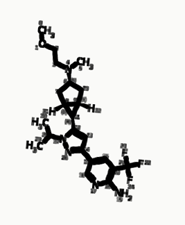 COCCN(C)[C@@H]1C[C@@H]2[C@H](C1)[C@H]2c1cc(-c2cnc(N)c(C(F)(F)F)c2)nn1C(C)C